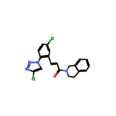 O=C(C=Cc1cc(Cl)ccc1-n1cc(Cl)nn1)N1CCc2ccccc2C1